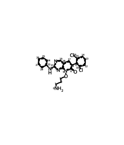 NCCCOn1c(=O)c(-c2c(Cl)cccc2Cl)cc2cnc(Nc3ccccc3)nc21